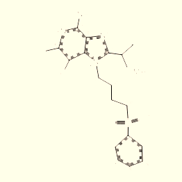 COC(C)c1nc2c(N)nc(C)c(C)c2n1CCCCS(=O)(=O)c1ccccc1